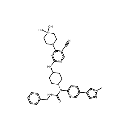 Cn1cc(-c2ccc(N(C(=O)NCc3ccccc3)[C@H]3CC[C@H](Nc4ncc(C#N)c(N5CCS(O)(O)CC5)n4)CC3)nc2)cn1